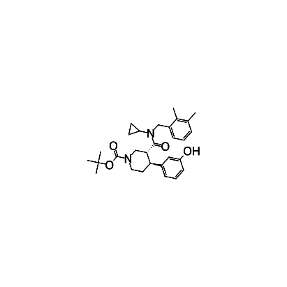 Cc1cccc(CN(C(=O)[C@H]2CN(C(=O)OC(C)(C)C)CC[C@@H]2c2cccc(O)c2)C2CC2)c1C